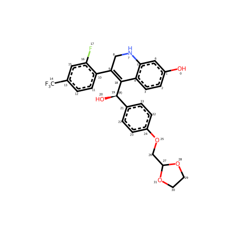 Oc1ccc2c(c1)NCC(c1ccc(C(F)(F)F)cc1F)=C2[C@H](O)c1ccc(OCC2OCCO2)cc1